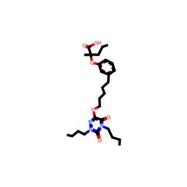 CCCCn1nc(OCCCCCc2cccc(OC(C)(CCC)C(=O)O)c2)c(=O)n(CCCC)c1=O